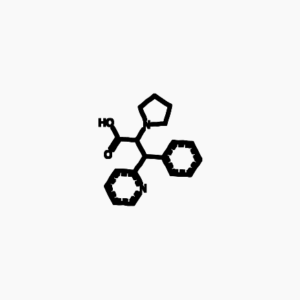 O=C(O)C(C(c1ccccc1)c1ccccn1)N1CCCC1